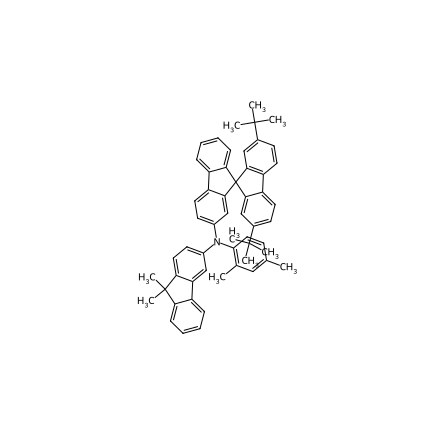 Cc1ccc(N(c2ccc3c(c2)-c2ccccc2C3(C)C)c2ccc3c(c2)C2(c4ccccc4-3)c3cc(C(C)(C)C)ccc3-c3ccc(C(C)(C)C)cc32)c(C)c1